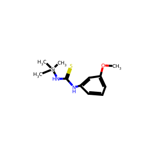 COc1cccc(NC(=S)N[Si](C)(C)C)c1